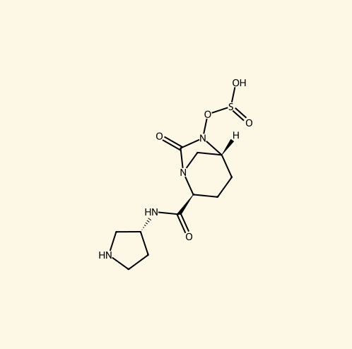 O=C(N[C@@H]1CCNC1)[C@@H]1CC[C@@H]2CN1C(=O)N2OS(=O)O